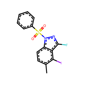 Cc1ccc2c(c(F)nn2S(=O)(=O)c2ccccc2)c1I